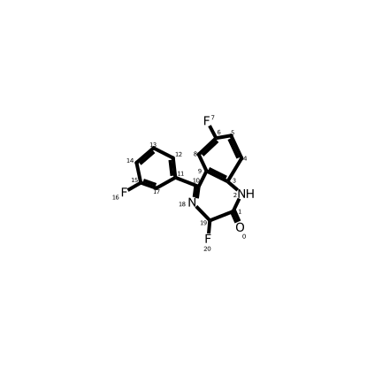 O=C1Nc2ccc(F)cc2C(c2cccc(F)c2)=NC1F